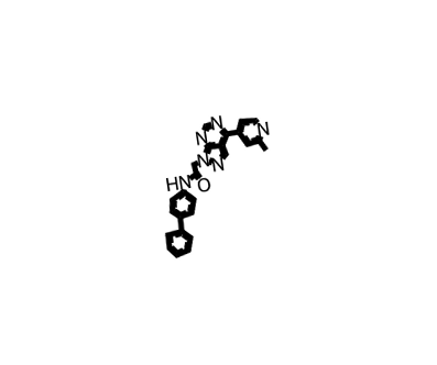 Cc1cc(-c2ncnc3c2cnn3CC(=O)Nc2ccc(-c3ccccc3)cc2)ccn1